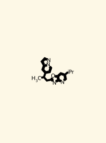 CC(C)c1cnc2nc(CC(C)c3ccn4nccc4c3)oc2c1